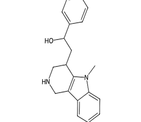 Cn1c2c(c3ccccc31)CNCC2CC(O)c1ccncc1